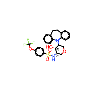 O=S(=O)(N[C@@H]1COCC(N2c3ccccc3CCc3ccccc32)[C@H]1O)c1ccc(OC(F)(F)F)cc1